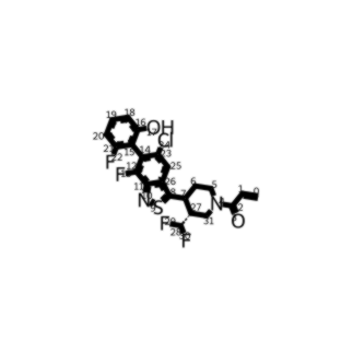 C=CC(=O)N1CCC(c2snc3c(F)c(-c4c(O)cccc4F)c(Cl)cc23)[C@@H](C(F)F)C1